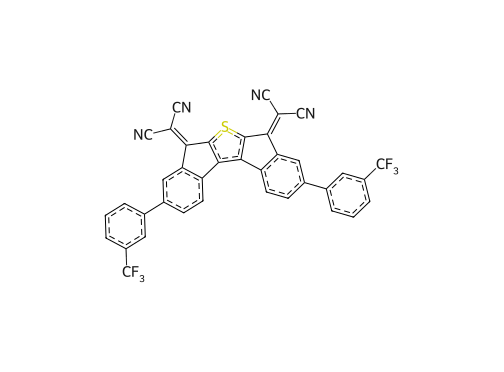 N#CC(C#N)=C1c2cc(-c3cccc(C(F)(F)F)c3)ccc2-c2c1sc1c2-c2ccc(-c3cccc(C(F)(F)F)c3)cc2C1=C(C#N)C#N